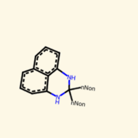 CCCCCCCCCC1(CCCCCCCCC)Nc2cccc3cccc(c23)N1